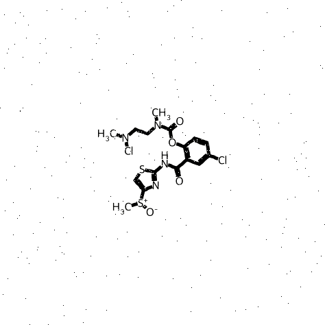 CN(Cl)CCN(C)C(=O)Oc1ccc(Cl)cc1C(=O)Nc1nc([S+](C)[O-])cs1